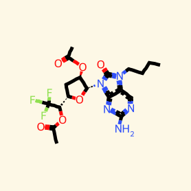 CCCCn1c(=O)n([C@@H]2O[C@H](C(OC(C)=O)C(F)(F)F)C[C@H]2OC(C)=O)c2nc(N)ncc21